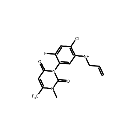 C=CCNc1cc(-n2c(=O)cc(C(F)(F)F)n(C)c2=O)c(F)cc1Cl